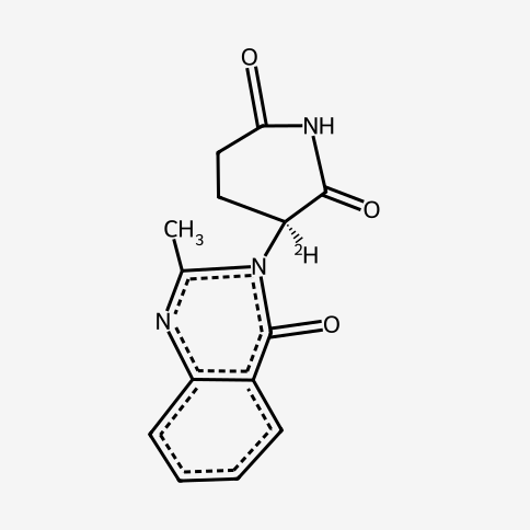 [2H][C@]1(n2c(C)nc3ccccc3c2=O)CCC(=O)NC1=O